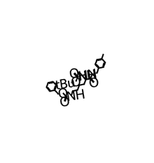 Cc1ccc(CNC(=O)C(CCCCNC(=O)OCc2ccccc2)NC(=O)OC(C)(C)C)cc1